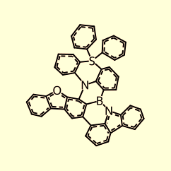 c1ccc(S2(c3ccccc3)c3ccccc3N3c4c(cccc42)B2c4c(cc5c(oc6ccccc65)c43)-c3cccc4c5ccccc5n2c34)cc1